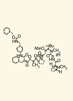 CC[C@H](C)[C@@H]([C@@H](CC(=O)N1CCC[C@H]1[C@H](OC)[C@@H](C)C(=O)N[C@@H](Cc1ccccc1)C(=O)Nc1ccc(CNC(=O)OCc2ccccc2)cc1)OC)N(C)C(=O)[C@@H](NC(=O)[C@@H]1[C@H]2CC[C@H](C2)N1C)C(C)C